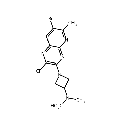 Cc1nc2nc(N3CC(N(C)C(=O)O)C3)c(Cl)nc2cc1Br